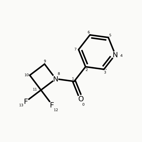 O=C(c1[c]nccc1)N1CCC1(F)F